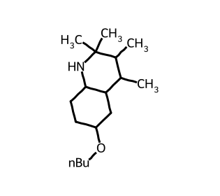 CCCCOC1CCC2NC(C)(C)C(C)C(C)C2C1